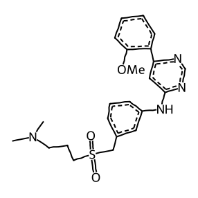 COc1ccccc1-c1cc(Nc2cccc(CS(=O)(=O)CCCN(C)C)c2)ncn1